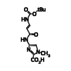 Cn1cc(NC(=O)C=CNC(=O)OC(C)(C)C)nc1C(=O)O